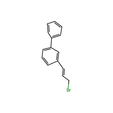 BrC/C=C/c1cccc(-c2ccccc2)c1